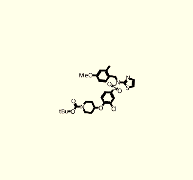 COc1ccc(CN(c2nccs2)S(=O)(=O)c2ccc(OC3CCN(C(=O)OC(C)(C)C)CC3)c(Cl)c2)c(C)c1